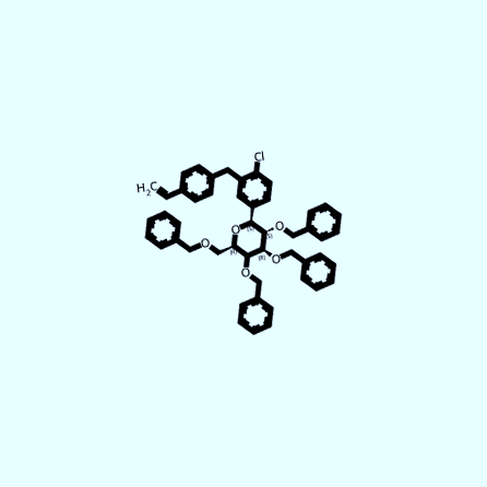 C=Cc1ccc(Cc2cc([C@@H]3O[C@H](COCc4ccccc4)C(OCc4ccccc4)[C@H](OCc4ccccc4)[C@H]3OCc3ccccc3)ccc2Cl)cc1